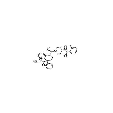 CCNC(=O)[C@]1(c2ccccc2)CC[C@@H](C(=O)N2CCC(NC(=O)c3ccccc3C)CC2)c2ccccc21